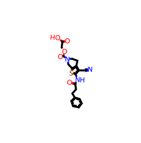 N#Cc1c(NC(=O)CCc2ccccc2)sc2c1CCN(C(=O)OCC(=O)O)C2